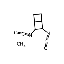 C.O=C=NC1C2CCC2C1N=C=O